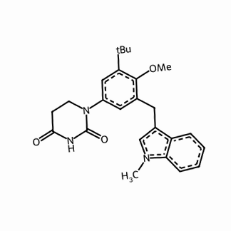 COc1c(Cc2cn(C)c3ccccc23)cc(N2CCC(=O)NC2=O)cc1C(C)(C)C